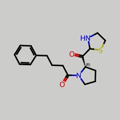 O=C(C1NCCS1)[C@H]1CCCN1C(=O)CCCc1ccccc1